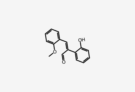 COc1ccccc1C=C(C=O)c1ccccc1O